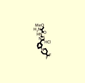 COCC(N)C(=O)Nc1nc(-c2cccc(N3CCC(C(F)F)CC3)c2)cs1.Cl